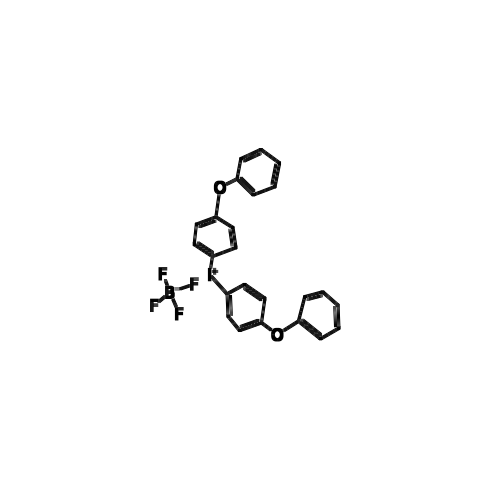 F[B-](F)(F)F.c1ccc(Oc2ccc([I+]c3ccc(Oc4ccccc4)cc3)cc2)cc1